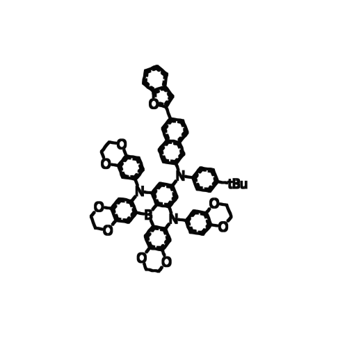 CC(C)(C)c1ccc(N(c2cc3c4c(c2)N(c2ccc5c(c2)OCCO5)c2cc5c(cc2B4c2cc4c(cc2N3c2ccc3c(c2)OCCO3)OCCO4)OCCO5)c2ccc3cc(-c4cc5ccccc5o4)ccc3c2)cc1